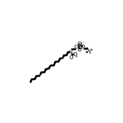 CCCCCCCCCCCCCCCCCCN(CCOP(=O)([O-])OCC[N+](C)(C)C)C(=O)OC